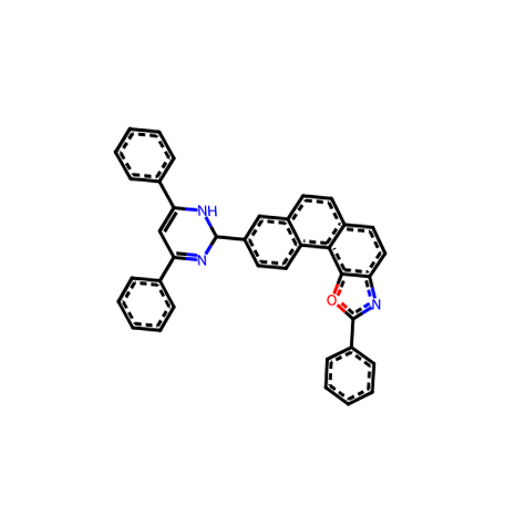 C1=C(c2ccccc2)NC(c2ccc3c(ccc4ccc5nc(-c6ccccc6)oc5c43)c2)N=C1c1ccccc1